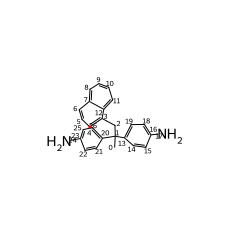 CC(Cc1cccc2ccccc12)(c1ccc(N)cc1)c1ccc(N)cc1